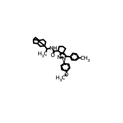 COc1ccc(-n2nc3c(c2-c2ccc(C)cc2)CCCC3C(=O)NC(C)C23CCC4CC(CC4C2)C3)cc1